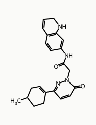 CC1CC=C(c2ccc(=O)n(CC(=O)Nc3ccc4c(c3)NCC=C4)n2)CC1